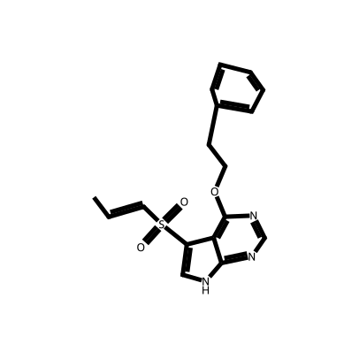 C/C=C/S(=O)(=O)c1c[nH]c2ncnc(OCCc3ccccc3)c12